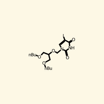 CCCCOCC(COCCCC)OCn1cc(I)c(=O)[nH]c1=O